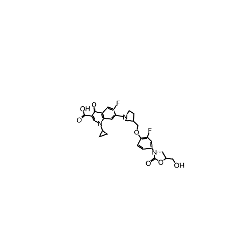 O=C(O)c1cn(C2CC2)c2cc(N3CCC(COc4ccc(N5CC(CO)OC5=O)cc4F)C3)c(F)cc2c1=O